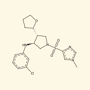 Cn1cnc(S(=O)(=O)N2C[C@@H](Nc3cccc(Cl)c3)[C@H](C3CCCO3)C2)c1